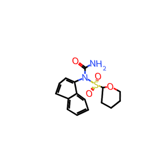 NC(=O)N(c1cccc2ccccc12)S(=O)(=O)C1CCCCO1